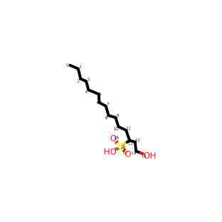 CCCCCCCCCCCCC(CCO)S(=O)(=O)O